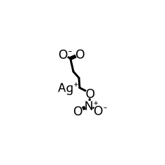 O=C([O-])CCCO[N+](=O)[O-].[Ag+]